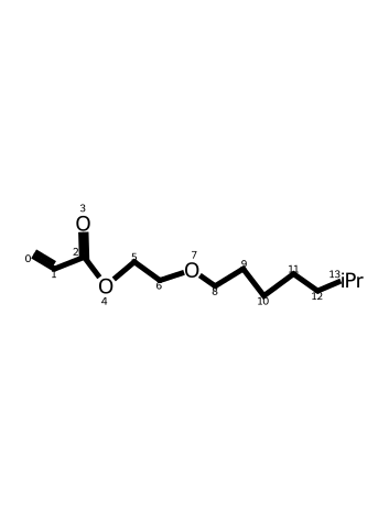 C=CC(=O)OCCOCCCCCC(C)C